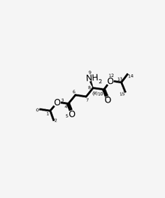 CC(C)OC(=O)CC[C@@H](N)C(=O)OC(C)C